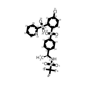 C[C@H](NS(=O)(=O)C(F)(F)F)c1ccc(S(=O)(=O)c2ccc(Cl)cc2S(=O)(=O)c2ccccn2)cc1